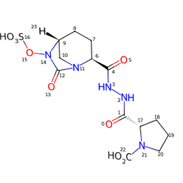 O=C(NNC(=O)[C@@H]1CC[C@@H]2CN1C(=O)N2OS(=O)(=O)O)[C@@H]1CCCN1C(=O)O